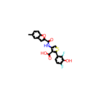 Cc1ccc2oc(C(=O)Nc3csc(-c4ccc(F)c(O)c4F)c3C(=O)O)cc2c1